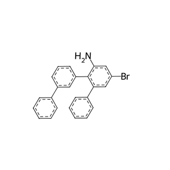 Nc1cc(Br)cc(-c2ccccc2)c1-c1cccc(-c2ccccc2)c1